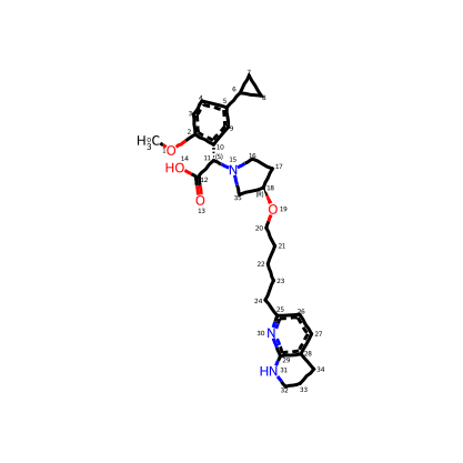 COc1ccc(C2CC2)cc1[C@@H](C(=O)O)N1CC[C@@H](OCCCCCc2ccc3c(n2)NCCC3)C1